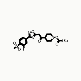 CC(C)(C)C(=O)ON1CCC(C(=O)Cc2nc(-c3ccc(S(C)(=O)=O)c(F)c3)no2)CC1